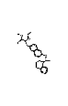 CCOC(Cc1ccc2cc(OC(C)N3CCSc4ccccc43)ccc2c1)C(=O)OC